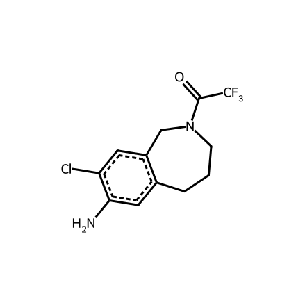 Nc1cc2c(cc1Cl)CN(C(=O)C(F)(F)F)CCC2